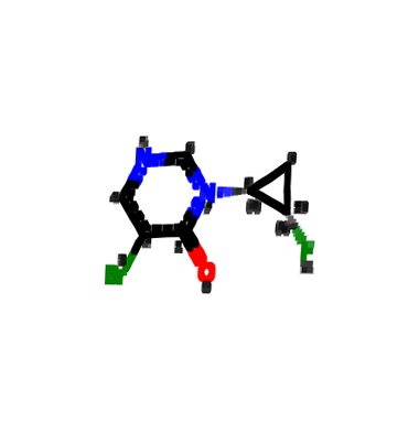 O=c1c(Br)cncn1[C@@H]1C[C@@H]1F